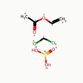 C=COC(C)=O.ClCCl.O=S(O)O